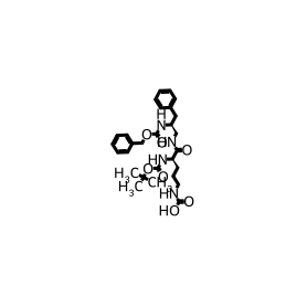 CC(C)(C)OC(=O)N[C@H](CCCNC(=O)O)C(=O)NC[C@H](Cc1ccccc1)NC(=O)OCc1ccccc1